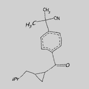 CC(C)CC1CC1C(=O)c1ccc(C(C)(C)C#N)cc1